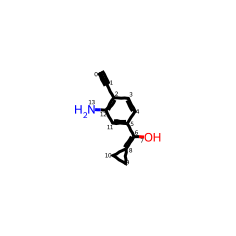 C#Cc1ccc(C(O)=C2CC2)cc1N